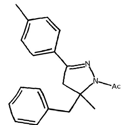 CC(=O)N1N=C(c2ccc(C)cc2)CC1(C)Cc1ccccc1